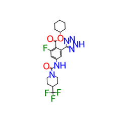 O=C(OC1CCCCC1)c1c(F)cc(NC(=O)N2CCC(C(F)(F)F)CC2)cc1-c1nn[nH]n1